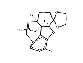 Cc1ccc2c3c1O[C@@H]1C4(CC[C@@H]5C(C2)N(C)CC[C@]351)OCCO4